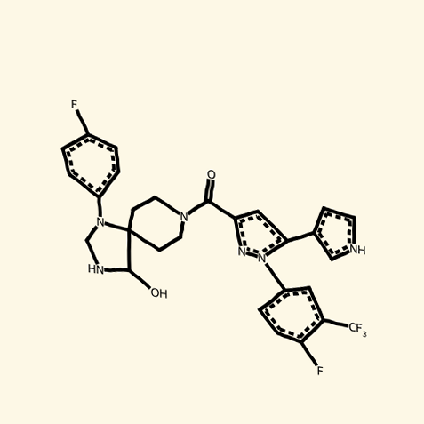 O=C(c1cc(-c2cc[nH]c2)n(-c2ccc(F)c(C(F)(F)F)c2)n1)N1CCC2(CC1)C(O)NCN2c1ccc(F)cc1